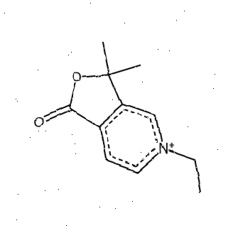 CC[n+]1ccc2c(c1)C(C)(C)OC2=O